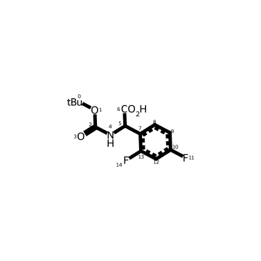 CC(C)(C)OC(=O)NC(C(=O)O)c1ccc(F)cc1F